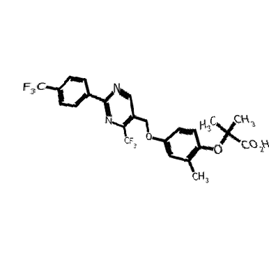 Cc1cc(OCc2cnc(-c3ccc(C(F)(F)F)cc3)nc2C(F)(F)F)ccc1OC(C)(C)C(=O)O